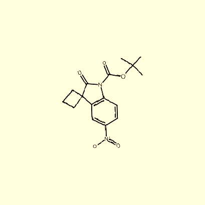 CC(C)(C)OC(=O)N1C(=O)C2(CCC2)c2cc([N+](=O)[O-])ccc21